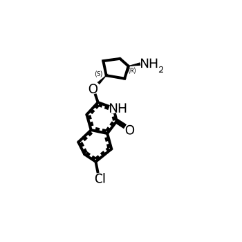 N[C@@H]1CC[C@H](Oc2cc3ccc(Cl)cc3c(=O)[nH]2)C1